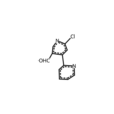 O=[C]c1cnc(Cl)cc1-c1ccccn1